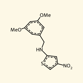 COc1cc(CNc2cc([N+](=O)[O-])cs2)cc(OC)c1